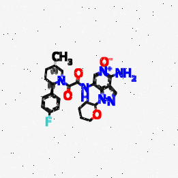 C[C@H]1CC[C@H](c2ccc(F)cc2)N(C(=O)C(=O)Nc2c[n+]([O-])c(N)c3cnn(C4CCCCO4)c23)C1